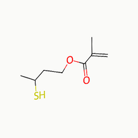 C=C(C)C(=O)OCCC(C)S